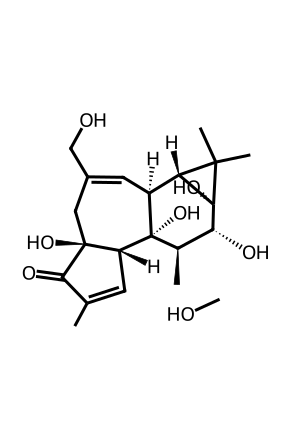 CC1=C[C@H]2[C@]3(O)[C@H](C)[C@@H](O)[C@@]4(O)[C@H]([C@@H]3C=C(CO)C[C@@]2(O)C1=O)C4(C)C.CO